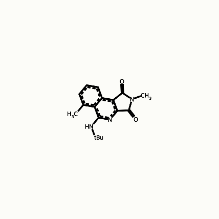 Cc1cccc2c3c(nc(NC(C)(C)C)c12)C(=O)N(C)C3=O